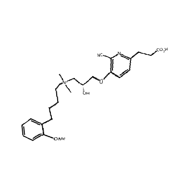 COc1ccccc1CCCC[N+](C)(C)C[C@@H](O)COc1ccc(CCC(=O)O)nc1C#N